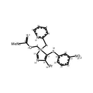 CNC(=S)OC[N+]1(Cc2ccccn2)C=NC(C(C)C)=C1Sc1cccc([N+](=O)[O-])c1